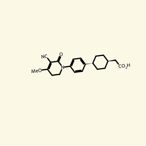 COC1=C(C#N)C(=O)N(c2ccc([C@H]3CC[C@H](CC(=O)O)CC3)cc2)CC1